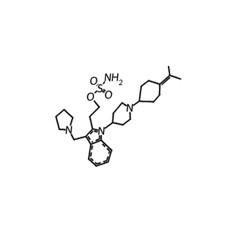 CC(C)=C1CCC(N2CCC(n3c(CCOS(N)(=O)=O)c(CN4CCCC4)c4ccccc43)CC2)CC1